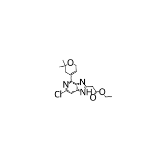 CCOC(=O)Cc1nc2c(C3=CCOC(C)(C)C3)nc(Cl)cc2[nH]1